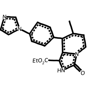 CCOC(=O)c1[nH]c(=O)n2ccc(C)c(-c3ccc(-n4ccnc4)cc3)c12